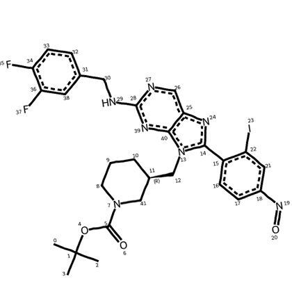 CC(C)(C)OC(=O)N1CCC[C@@H](Cn2c(-c3ccc(N=O)cc3I)nc3cnc(NCc4ccc(F)c(F)c4)nc32)C1